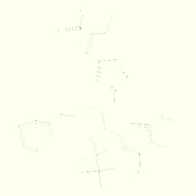 CC/C(=C\c1cnn(C[C@@H](CCCc2ccccc2)C(O[Si](C)(C)C(C)(C)C)c2cc(OC)c(C)c(OC)c2)c1)C(=O)O